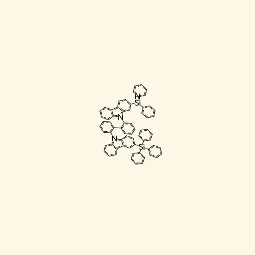 c1ccc([SiH](c2ccccc2)c2ccc3c4ccccc4n(-c4ccccc4-c4ccccc4-n4c5ccccc5c5cc([Si](c6ccccc6)(c6ccccc6)c6ccccc6)ccc54)c3c2)cc1